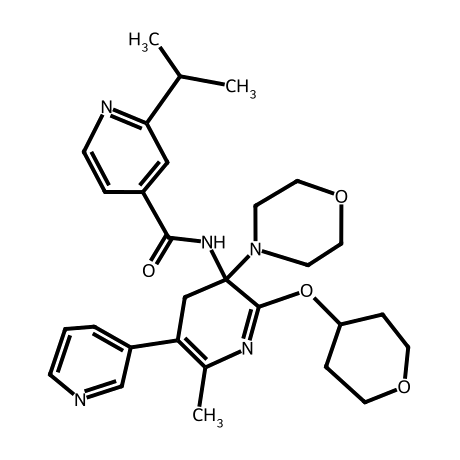 CC1=C(c2cccnc2)CC(NC(=O)c2ccnc(C(C)C)c2)(N2CCOCC2)C(OC2CCOCC2)=N1